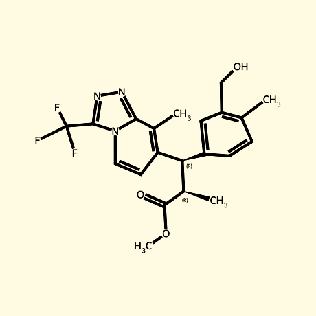 COC(=O)[C@H](C)[C@H](c1ccc(C)c(CO)c1)c1ccn2c(C(F)(F)F)nnc2c1C